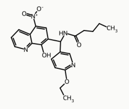 CCCCC(=O)NC(c1ccc(OCC)nc1)c1cc([N+](=O)[O-])c2cccnc2c1O